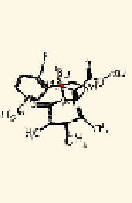 CCC(C)[C@@]1(c2cc(C)ccc2F)CNC[C@H]1C(=O)C(C)C(C)C(C)=C=C(C)C(=O)OC(C)(C)C